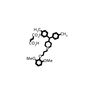 COc1cccc(OC)c1OCCCN1CCC(C(c2ccc(C)cc2)c2ccc(C)cc2)CC1.O=C(O)/C=C/C(=O)O